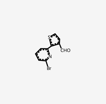 O=Cc1ccsc1-c1cccc(Br)n1